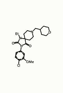 CCN1C(=O)N(c2ccc(Cl)c(OC)c2)C(=O)C12CCN(CC1CCOCC1)CC2